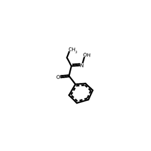 CCC(=NO)C(=O)c1ccccc1